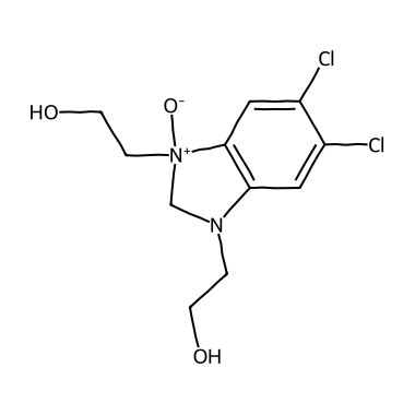 [O-][N+]1(CCO)CN(CCO)c2cc(Cl)c(Cl)cc21